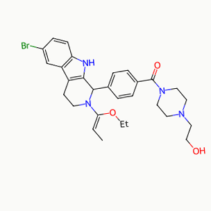 CC=C(OCC)N1CCc2c([nH]c3ccc(Br)cc23)C1c1ccc(C(=O)N2CCN(CCO)CC2)cc1